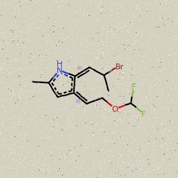 Cc1cc(=C/COC(F)F)/c(=C\C(C)Br)[nH]1